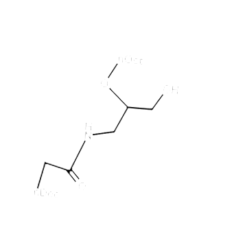 CCCCCCCCCCCC(=O)NCC(CO)OCCCCCCCC